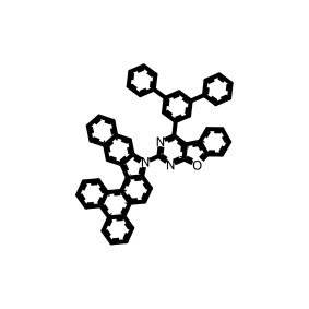 c1ccc(-c2cc(-c3ccccc3)cc(-c3nc(-n4c5cc6ccccc6cc5c5c6c7ccccc7c7ccccc7c6ccc54)nc4oc5ccccc5c34)c2)cc1